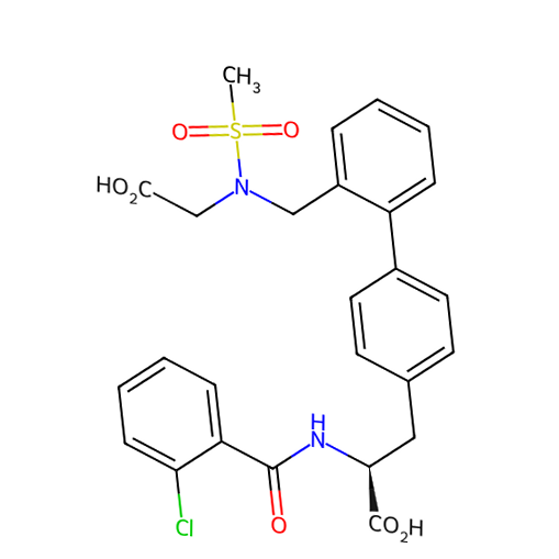 CS(=O)(=O)N(CC(=O)O)Cc1ccccc1-c1ccc(C[C@H](NC(=O)c2ccccc2Cl)C(=O)O)cc1